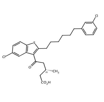 C[C@H](CC(=O)O)CC(=O)c1c(CCCCCCc2cccc(Cl)c2)sc2ccc(Cl)cc12